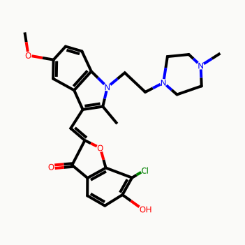 COc1ccc2c(c1)c(/C=C1\Oc3c(ccc(O)c3Cl)C1=O)c(C)n2CCN1CCN(C)CC1